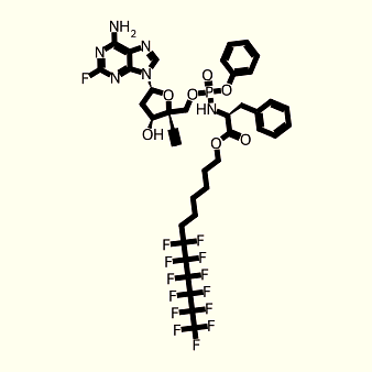 C#C[C@]1(COP(=O)(N[C@@H](Cc2ccccc2)C(=O)OCCCCCCC(F)(F)C(F)(F)C(F)(F)C(F)(F)C(F)(F)C(F)(F)F)Oc2ccccc2)O[C@@H](n2cnc3c(N)nc(F)nc32)C[C@@H]1O